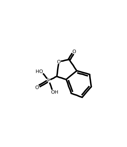 O=C1OC(P(=O)(O)O)c2ccccc21